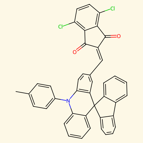 Cc1ccc(N2c3ccccc3C3(c4ccccc4-c4ccccc43)c3cc(C=C4C(=O)c5c(Cl)ccc(Cl)c5C4=O)ccc32)cc1